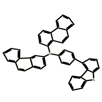 c1ccc2c(c1)ccc1ccc(N(c3ccc(-c4cccc5sc6ccccc6c45)cc3)c3cccc4c3ccc3ccccc34)cc12